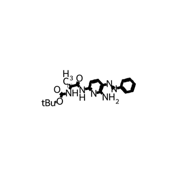 C[C@H](NC(=O)OC(C)(C)C)C(=O)Nc1ccc(N=Nc2ccccc2)c(N)n1